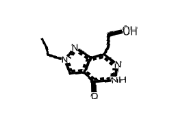 CCn1cc2c(=O)[nH]nc(CO)c2n1